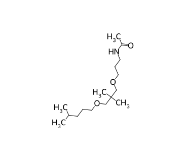 CC(=O)NCCCOCC(C)(C)COCCCC(C)C